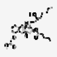 CCCCC[C@H](O)CC[C@@H]1[C@H]2Cc3cccc(OCC(=O)OC)c3C[C@H]2C[C@H]1OC(=O)CCCC